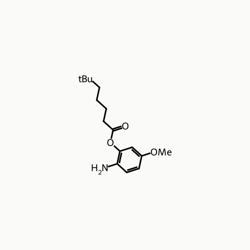 COc1ccc(N)c(OC(=O)CCCCC(C)(C)C)c1